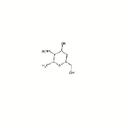 CC(=O)NC1C(O)CC(CO)OC1C